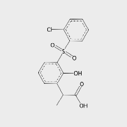 CC(C(=O)O)c1cccc(S(=O)(=O)c2ccccc2Cl)c1O